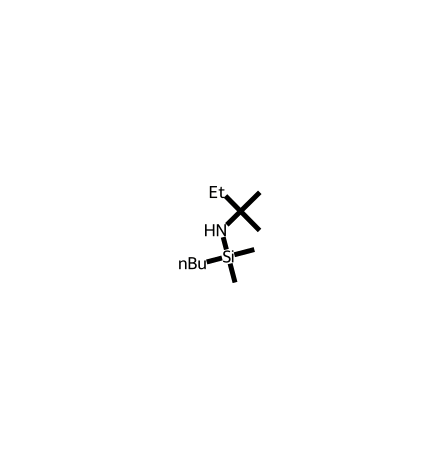 CCCC[Si](C)(C)NC(C)(C)CC